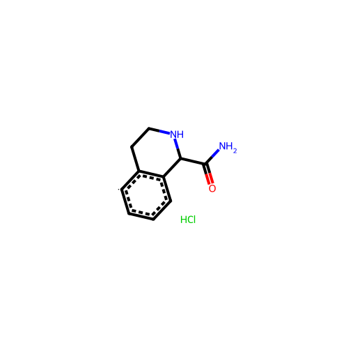 Cl.NC(=O)C1NCCc2[c]cccc21